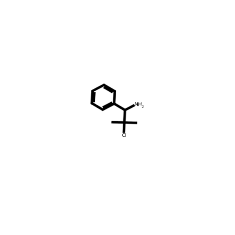 CC(C)(Cl)C(N)c1ccccc1